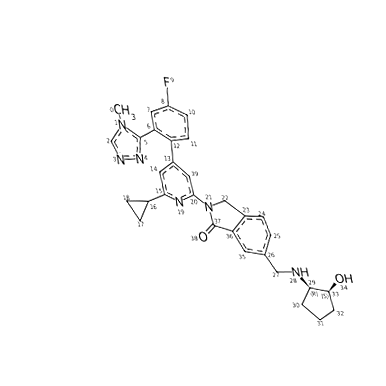 Cn1cnnc1-c1cc(F)ccc1-c1cc(C2CC2)nc(N2Cc3ccc(CN[C@@H]4CCC[C@@H]4O)cc3C2=O)c1